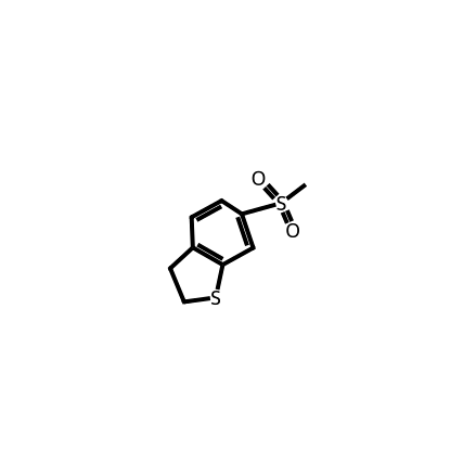 CS(=O)(=O)c1ccc2c(c1)SCC2